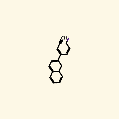 C#C/C=C(\C=C/CI)C1=CC=C2C=CC=CC2C1